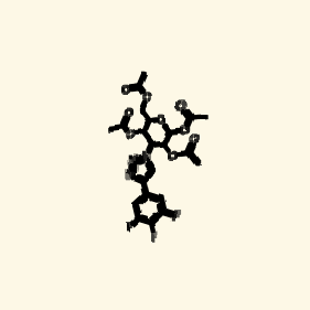 CC(=O)OCC1OC(OC(C)=O)C(OC(C)=O)C(n2cc(-c3cc(F)c(F)c(F)c3)nn2)C1OC(C)=O